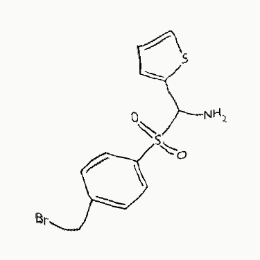 NC(c1cccs1)S(=O)(=O)c1ccc(CBr)cc1